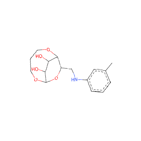 Cc1cccc(NCC2OC3OCCCOC2C(O)C3O)c1